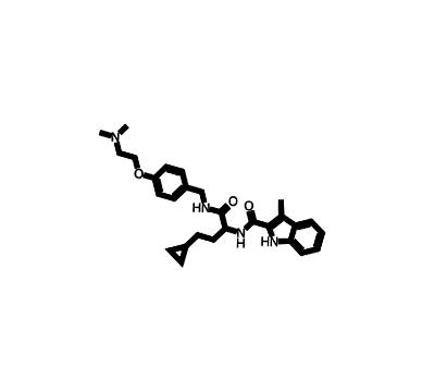 Cc1c(C(=O)NC(CCC2CC2)C(=O)NCc2ccc(OCCN(C)C)cc2)[nH]c2ccccc12